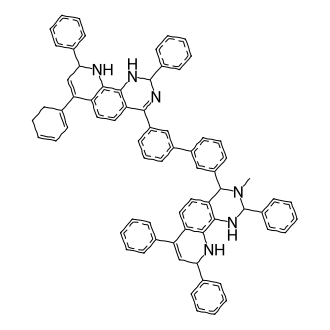 CN1C(c2ccccc2)Nc2c(ccc3c2NC(c2ccccc2)C=C3c2ccccc2)C1c1cccc(-c2cccc(C3=NC(c4ccccc4)Nc4c3ccc3c4NC(c4ccccc4)C=C3C3=CC=CCC3)c2)c1